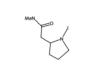 CNC(=O)CC1CCCN1I